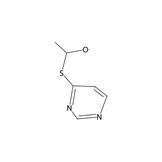 CC([O])Sc1ccncn1